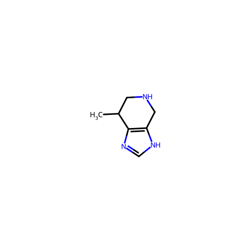 CC1CNCc2[nH]cnc21